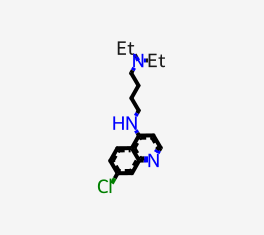 CCN(CC)CCCCNc1ccnc2cc(Cl)ccc12